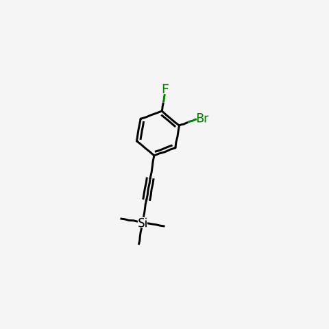 C[Si](C)(C)C#Cc1ccc(F)c(Br)c1